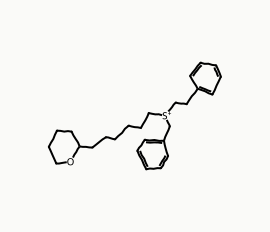 c1ccc(CC[S+](CCCCCCC2CCCCO2)Cc2ccccc2)cc1